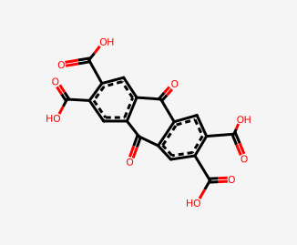 O=C(O)c1cc2c(cc1C(=O)O)C(=O)c1cc(C(=O)O)c(C(=O)O)cc1C2=O